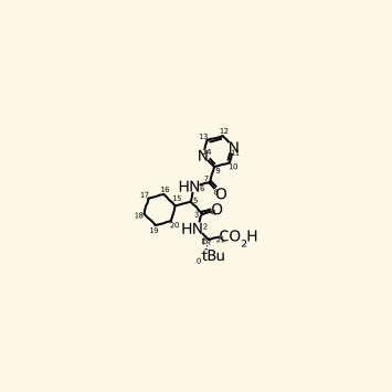 CC(C)(C)[C@H](NC(=O)C(NC(=O)c1cnccn1)C1CCCCC1)C(=O)O